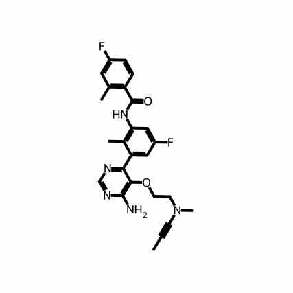 CC#CN(C)CCOc1c(N)ncnc1-c1cc(F)cc(NC(=O)c2ccc(F)cc2C)c1C